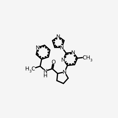 Cc1cc(N2CCCC2C(=O)NC(C)c2cccnc2)nc(-n2ccnc2)n1